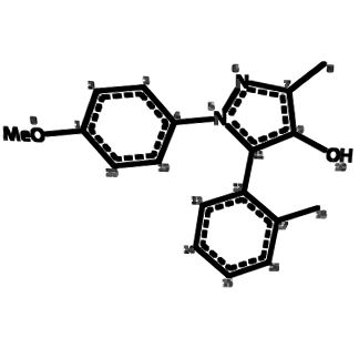 COc1ccc(-n2nc(C)c(O)c2-c2ccccc2C)cc1